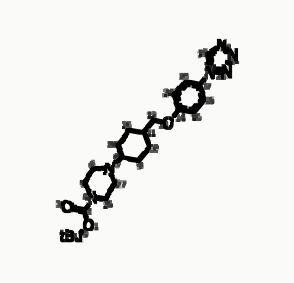 CC(C)(C)OC(=O)N1CCN(C2CCC(COc3ccc(-n4cnnn4)cc3)CC2)CC1